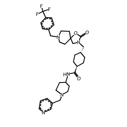 O=C1OC2(CCN(Cc3ccc(C(F)(F)F)cc3)CC2)CN1C[C@H]1CC[C@H](C(=O)NC2CCN(Cc3cccnc3)CC2)CC1